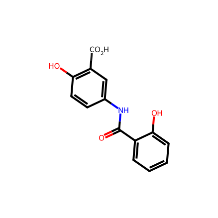 O=C(O)c1cc(NC(=O)c2ccccc2O)ccc1O